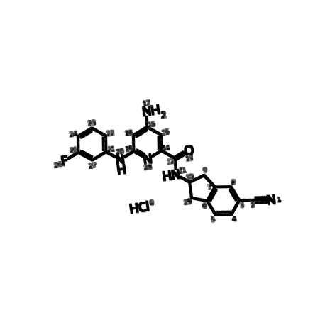 Cl.N#Cc1ccc2c(c1)CC(NC(=O)c1cc(N)cc(Nc3cccc(F)c3)n1)C2